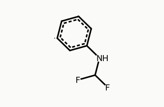 FC(F)Nc1c[c]ccc1